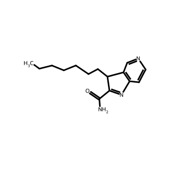 CCCCCCCC1C(C(N)=O)=Nc2ccncc21